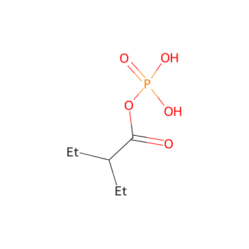 CCC(CC)C(=O)OP(=O)(O)O